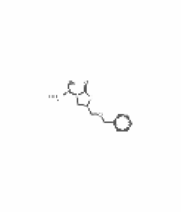 CC(C)(C)N(C(=O)O)N1C[C@H](COCc2ccccc2)OC1=O